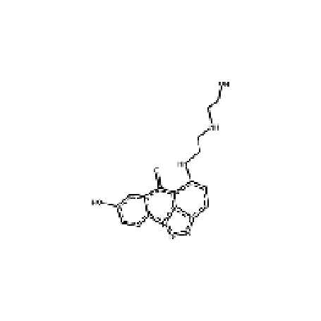 O=c1c2cc(O)ccc2n2nnc3ccc(NCCNCCO)c1c32